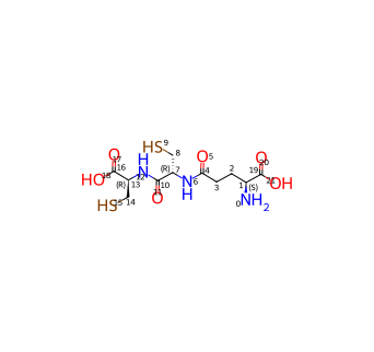 N[C@@H](CCC(=O)N[C@@H](CS)C(=O)N[C@@H](CS)C(=O)O)C(=O)O